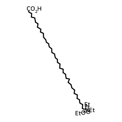 CCO[Si](CCCCCCCCCCCCCCCCCCCCCCCCCCCCCCCCCCCCCCCC(=O)O)(OCC)OCC